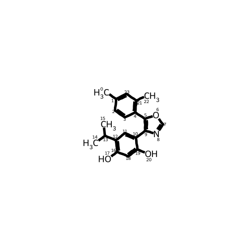 Cc1ccc(-c2ocnc2-c2cc(C(C)C)c(O)cc2O)c(C)c1